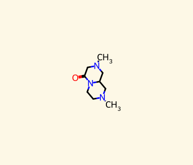 CN1CCN2C(=O)CN(C)CC2C1